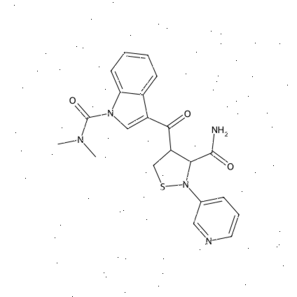 CN(C)C(=O)n1cc(C(=O)C2CSN(c3cccnc3)C2C(N)=O)c2ccccc21